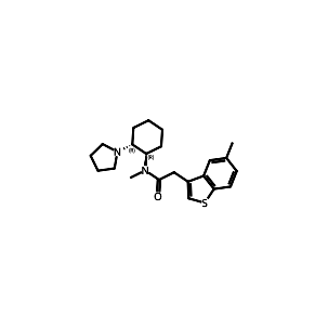 Cc1ccc2scc(CC(=O)N(C)[C@@H]3CCCC[C@H]3N3CCCC3)c2c1